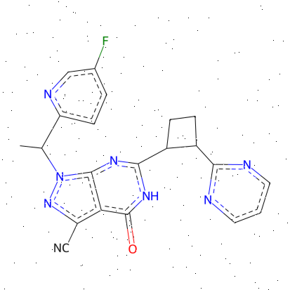 CC(c1ccc(F)cn1)n1nc(C#N)c2c(=O)[nH]c(C3CCC3c3ncccn3)nc21